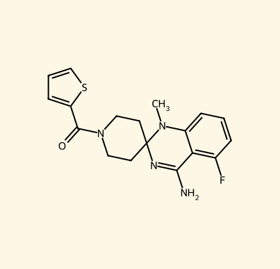 CN1c2cccc(F)c2C(N)=NC12CCN(C(=O)c1cccs1)CC2